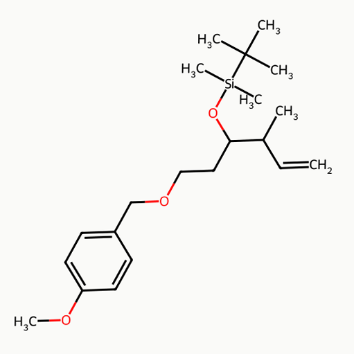 C=CC(C)C(CCOCc1ccc(OC)cc1)O[Si](C)(C)C(C)(C)C